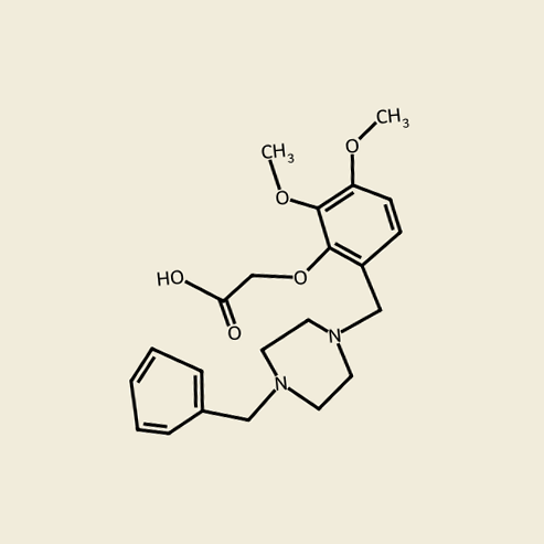 COc1ccc(CN2CCN(Cc3ccccc3)CC2)c(OCC(=O)O)c1OC